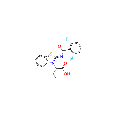 CCC(C(=O)O)n1/c(=N/C(=O)c2c(F)cccc2F)sc2ccccc21